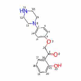 O=C(COc1ccc(N2CCNCC2)cc1)c1ccccc1O